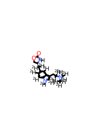 [2H]c1c(C([2H])([2H])[C@H]2COC(=O)N2[2H])c([2H])c2c(CC([2H])([2H])N(C([2H])([2H])[2H])C([2H])([2H])[2H])c([2H])n([2H])c2c1[2H]